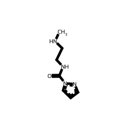 CNCCNC(=O)n1cc[c]n1